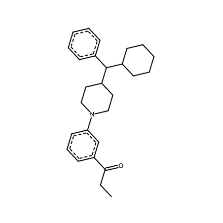 CCC(=O)c1cccc(N2CCC(C(c3ccccc3)C3CCCCC3)CC2)c1